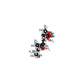 [2H]NC1C(O)C(O)[C@H](CN)O[C@@H]1O[C@@H]1C(O)[C@H](O[C@H]2C(O[C@H]3OC(CN)C(O)[C@H](O)C3N)C(N)C[C@@H](N)C2O)O[C@@H]1Cn1cc(-c2ccc(-c3cn(C[C@H]4O[C@@H](O[C@H]5C(O[C@H]6OC(CN)C(O)[C@H](O)C6N)C(N)C[C@@H](N)C5O)C(O)[C@H]4O[C@H]4O[C@@H](CN)C(O)C(O)C4N)nn3)cc2)nn1